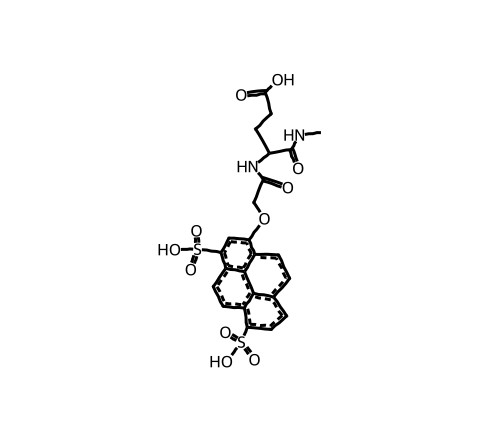 CNC(=O)C(CCC(=O)O)NC(=O)COc1cc(S(=O)(=O)O)c2ccc3c(S(=O)(=O)O)ccc4ccc1c2c43